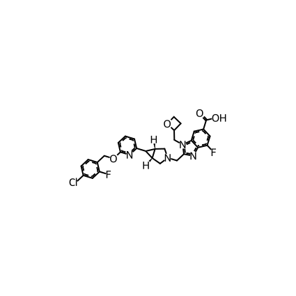 O=C(O)c1cc(F)c2nc(CN3C[C@@H]4C(c5cccc(OCc6ccc(Cl)cc6F)n5)[C@@H]4C3)n(CC3CCO3)c2c1